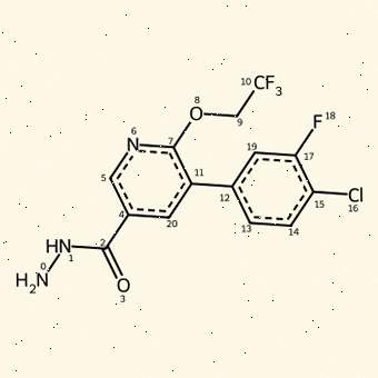 NNC(=O)c1cnc(OCC(F)(F)F)c(-c2ccc(Cl)c(F)c2)c1